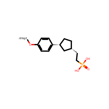 CCCCCCCOc1ccc([C@@H]2CC[C@H](CCP(=O)(O)O)C2)cc1